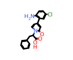 Nc1ccc(Cl)cc1-c1ccn(C(Cc2ccccc2)C(=O)O)c(=O)c1